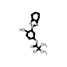 CCC(C)(C)C(=O)Oc1ccc(O)c(-n2nc3ccccc3n2)c1